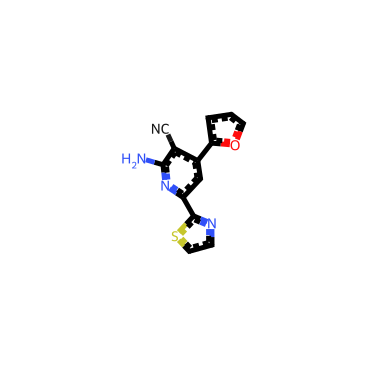 N#Cc1c(-c2ccco2)cc(-c2nccs2)nc1N